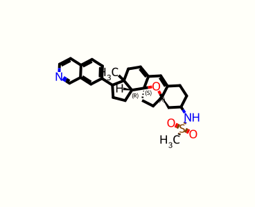 CC12CC=C3C=C4CCC(NS(C)(=O)=O)C[C@]45CC[C@]3(O5)[C@@H]1CCC2c1ccc2ccncc2c1